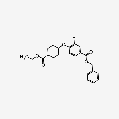 CCOC(=O)[C@H]1CC[C@@H](Oc2ccc(C(=O)OCc3ccccc3)cc2F)CC1